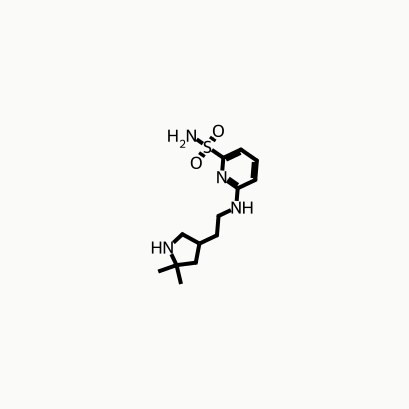 CC1(C)CC(CCNc2cccc(S(N)(=O)=O)n2)CN1